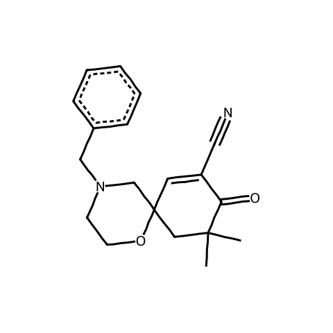 CC1(C)CC2(C=C(C#N)C1=O)CN(Cc1ccccc1)CCO2